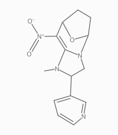 CN1C2=C([N+](=O)[O-])C3CCC(O3)N2CC1c1cccnc1